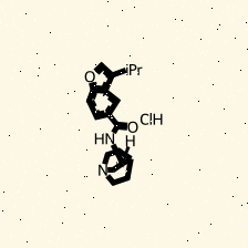 CC(C)c1coc2ccc(C(=O)N[C@H]3CN4CCC3CC4)cc12.Cl